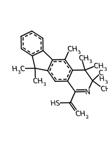 C=C(S)C1=NC(C)(C)C(C)(C)c2c1cc1c(c2C)-c2ccccc2C1(C)C